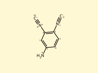 [C-]#[N+]c1ccc(N)cc1[N+]#[C-]